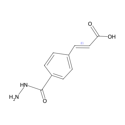 NNC(=O)c1ccc(/C=C/C(=O)O)cc1